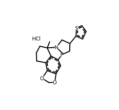 CC1(N2CCC(c3cccs3)C2)CCCc2c3c(cc(F)c21)OCO3.Cl